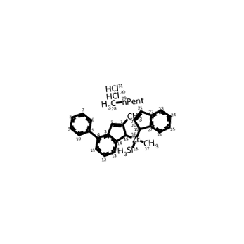 CC1=Cc2c(-c3ccccc3)cccc2[CH]1[Zr]([CH3])([SiH3])[CH]1C=Cc2ccccc21.CCCCCC.Cl.Cl